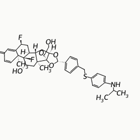 CC(C)Nc1ccc(SCc2ccc([C@H]3O[C@@H]4C[C@H]5[C@@H]6C[C@H](F)C7=CC(=O)C=C[C@]7(C)[C@@]6(F)[C@@H](O)C[C@]5(C)[C@]4(C(=O)CO)O3)cc2)cc1